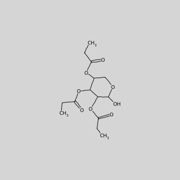 CCC(=O)OC1COC(O)C(OC(=O)CC)C1OC(=O)CC